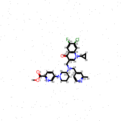 COC(=O)c1ccc(N2CCC[C@H](N(Cc3ccnc(C)c3)Cc3cn(C4CC4)c4cc(Cl)c(F)cc4c3=O)C2)cn1